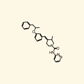 CC(Cc1ccccc1)Oc1cccc(C=C2CCN(C(=O)Nc3cccnn3)CC2C)c1